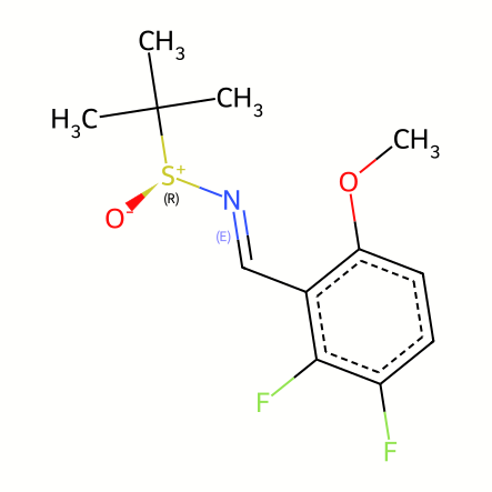 COc1ccc(F)c(F)c1/C=N/[S@@+]([O-])C(C)(C)C